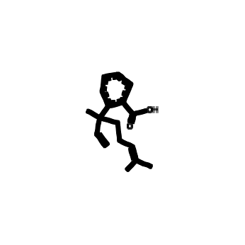 C=CC(C)(CCC=C(C)C)c1ccccc1C(=O)O